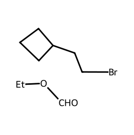 BrCCC1CCC1.CCOC=O